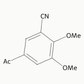 COc1cc(C(C)=O)cc(C#N)c1OC